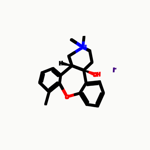 Cc1cccc2c1Oc1ccccc1[C@]1(O)CC[N+](C)(C)C[C@H]21.[I-]